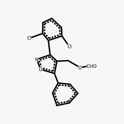 O=COCc1c(-c2c(Cl)cccc2Cl)noc1-c1ccccc1